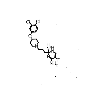 NC1=NC(N)(CCCN2CCC(Oc3ccc(Cl)c(Cl)c3)CC2)NC=C1F